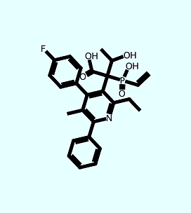 C=CP(=O)(O)C(C(=O)O)(c1c(CC)nc(-c2ccccc2)c(C)c1-c1ccc(F)cc1)C(C)O